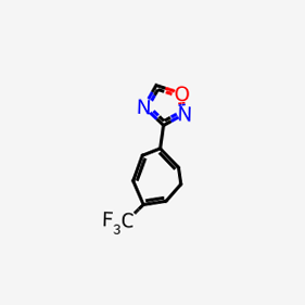 FC(F)(F)C1=CCC=C(c2ncon2)C=C1